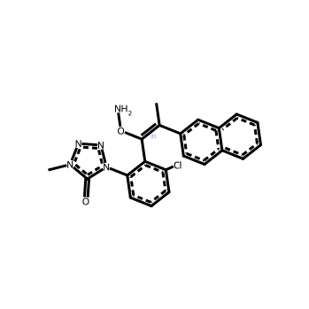 C/C(=C(\ON)c1c(Cl)cccc1-n1nnn(C)c1=O)c1ccc2ccccc2c1